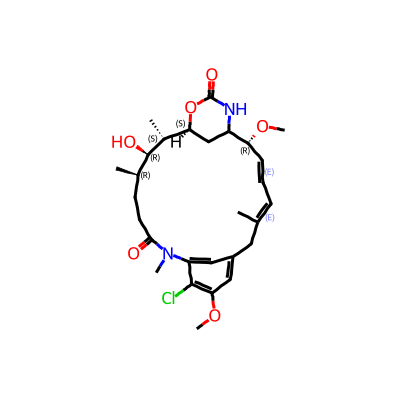 COc1cc2cc(c1Cl)N(C)C(=O)CC[C@@H](C)[C@@H](O)[C@H](C)[C@@H]1CC(NC(=O)O1)[C@H](OC)/C=C/C=C(\C)C2